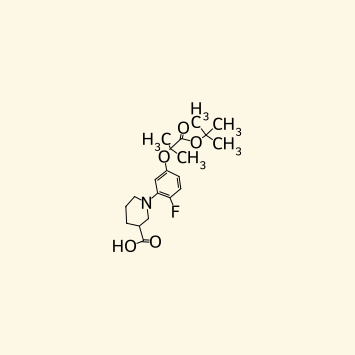 CC(C)(C)OC(=O)C(C)(C)Oc1ccc(F)c(N2CCCC(C(=O)O)C2)c1